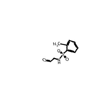 Cc1ccccc1S(=O)(=O)NC[C]=O